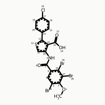 COc1c(Br)cc(C(=O)Nc2csc(-c3ccc(Cl)cc3)c2C(=O)O)c(Br)c1Br